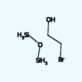 OCCBr.[SiH3]O[SiH3]